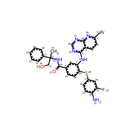 CC(C)c1ccc2c(Nc3cc(C(=O)NC(C)(CO)c4ccccc4)ccc3Sc3ccc(N)c(F)c3)ncnc2n1